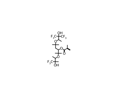 C=C(C)C(=O)OC(CC(C)(C)OC(C)C(O)(C(F)(F)F)C(F)(F)F)C(C)(C)OC(C)C(C)(O)C(F)(F)F